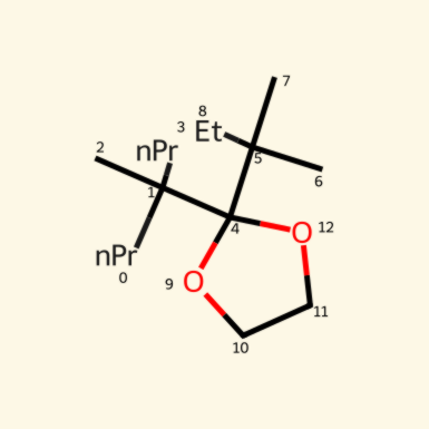 CCCC(C)(CCC)C1(C(C)(C)CC)OCCO1